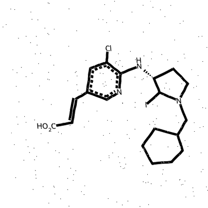 O=C(O)C=Cc1cnc(N[C@@H]2CCN(CC3CCCCC3)C2I)c(Cl)c1